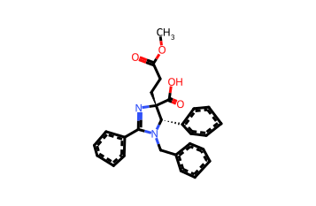 COC(=O)CC[C@]1(C(=O)O)N=C(c2ccccc2)N(Cc2ccccc2)[C@H]1c1ccccc1